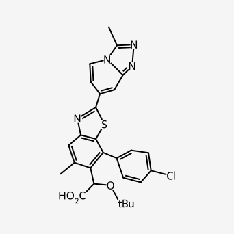 Cc1cc2nc(-c3ccn4c(C)nnc4c3)sc2c(-c2ccc(Cl)cc2)c1C(OC(C)(C)C)C(=O)O